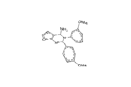 COc1ccc(C2=Nc3occc3C(N)N2c2cccc(OC)c2)cc1